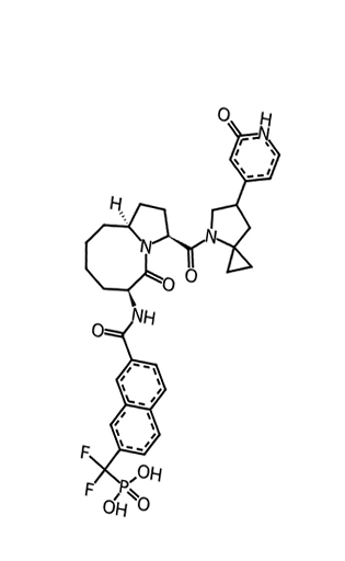 O=C(N[C@H]1CCCC[C@H]2CC[C@@H](C(=O)N3CC(c4cc[nH]c(=O)c4)CC34CC4)N2C1=O)c1ccc2ccc(C(F)(F)P(=O)(O)O)cc2c1